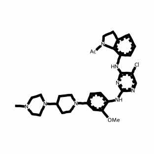 COc1cc(N2CCC(N3CCN(C)CC3)CC2)ccc1Nc1ncc(Cl)c(Nc2cccc3c2N(C(C)=O)CC3)n1